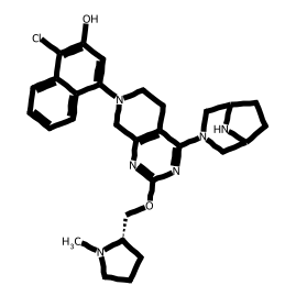 CN1CCC[C@H]1COc1nc2c(c(N3CC4CCC(C3)N4)n1)CCN(c1cc(O)c(Cl)c3ccccc13)C2